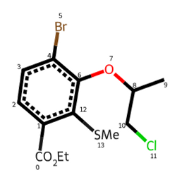 CCOC(=O)c1ccc(Br)c(OC(C)CCl)c1SC